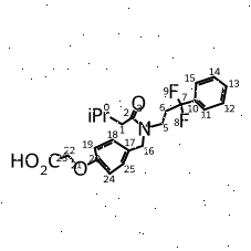 CC(C)CC(=O)N(CCC(F)(F)c1ccccc1)Cc1ccc(OCC(=O)O)cc1